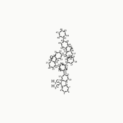 CC1(C)c2ccccc2-c2ccc(-c3nc(-c4ccccc4)nc(-c4cccc5oc6ccc(-c7cccc8sc9cc(-c%10ccccc%10)ccc9c78)cc6c45)n3)cc21